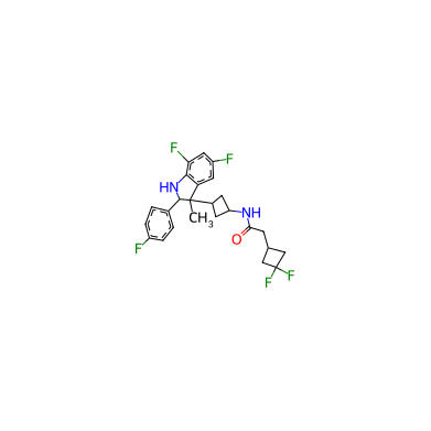 CC1(C2CC(NC(=O)CC3CC(F)(F)C3)C2)c2cc(F)cc(F)c2NC1c1ccc(F)cc1